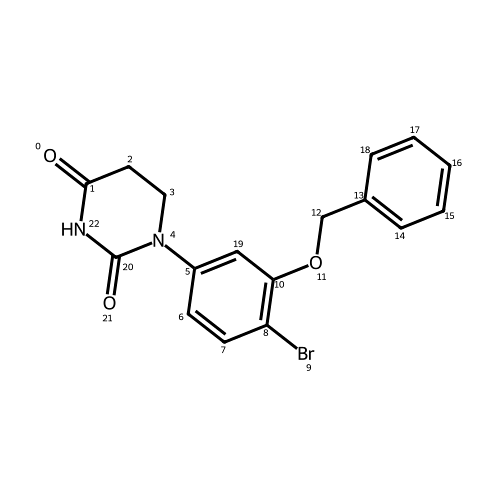 O=C1CCN(c2ccc(Br)c(OCc3ccccc3)c2)C(=O)N1